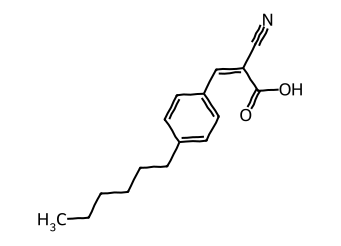 CCCCCCc1ccc(C=C(C#N)C(=O)O)cc1